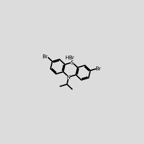 Br.CC(C)N1c2ccc(Br)cc2Sc2cc(Br)ccc21